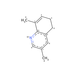 CC1=CCCc2cc(C)cnc21